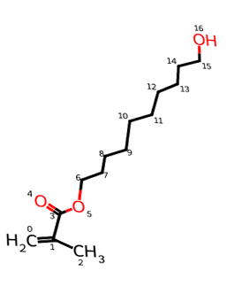 C=C(C)C(=O)OCCCCCCCCCCO